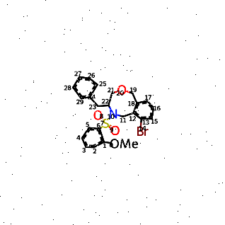 COc1ccccc1S(=O)(=O)N1Cc2c(Br)cccc2COCC1Cc1ccccc1